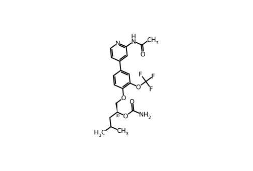 CC(=O)Nc1cc(-c2ccc(OC[C@H](CC(C)C)OC(N)=O)c(OC(F)(F)F)c2)ccn1